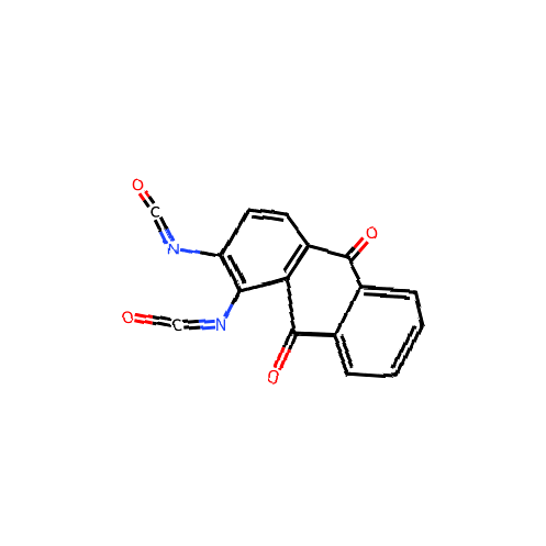 O=C=Nc1ccc2c(c1N=C=O)C(=O)c1ccccc1C2=O